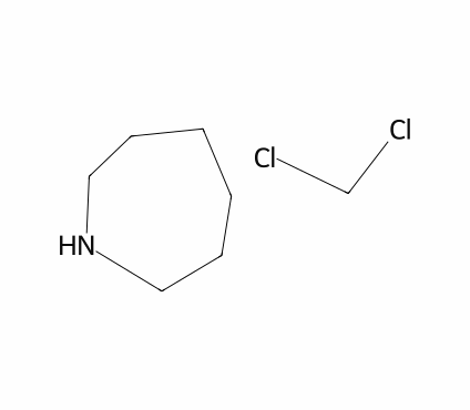 C1CCCNCC1.ClCCl